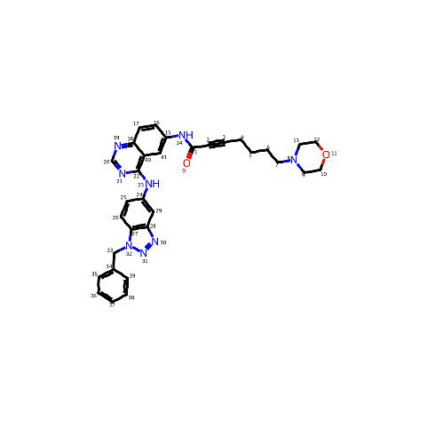 O=C(C#CCCCCN1CCOCC1)Nc1ccc2ncnc(Nc3ccc4c(c3)nnn4Cc3ccccc3)c2c1